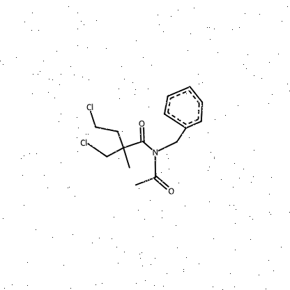 CC(=O)N(Cc1ccccc1)C(=O)C(C)(CCl)CCCl